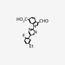 CCc1ccc(F)c(-c2cnc(-n3cc(C=O)c4ccc(C(=O)O)cc43)nc2)c1